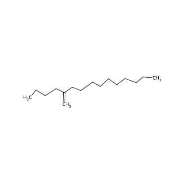 [CH2]CCCC(=C)CCCCCCCCCC